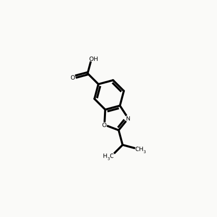 CC(C)c1nc2ccc(C(=O)O)cc2o1